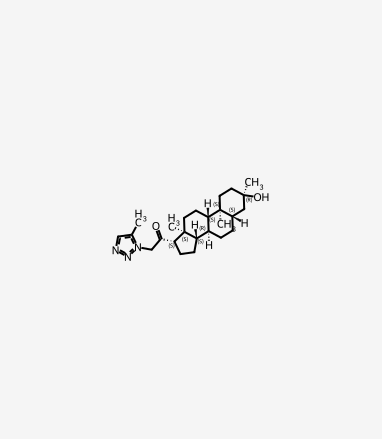 Cc1cnnn1CC(=O)[C@H]1CC[C@H]2[C@@H]3CC[C@H]4C[C@](C)(O)CC[C@]4(C)[C@H]3CC[C@]12C